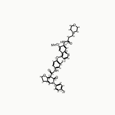 COc1cc2c(Oc3ccc(NC(=O)c4c5c(cn(-c6ccc(F)cc6)c4=O)CCO5)cc3F)ccnc2cc1NC(=O)CCN1CCOCC1